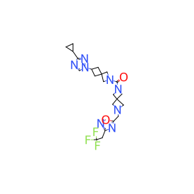 O=C(N1CC2(CC(n3cnc(C4CC4)n3)C2)C1)N1CC2(CN(Cc3nc(CC(F)(F)F)no3)C2)C1